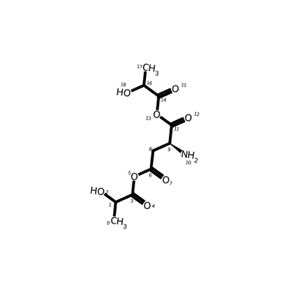 CC(O)C(=O)OC(=O)C[C@H](N)C(=O)OC(=O)C(C)O